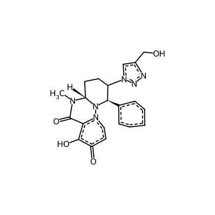 CN1C(=O)c2c(O)c(=O)ccn2N2[C@H](c3ccccc3)C(n3cc(CO)nn3)CC[C@@H]12